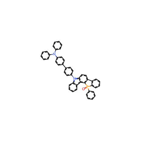 O=P1(c2ccccc2)c2ccccc2-c2ccc3c(c21)c1ccccc1n3-c1ccc(-c2ccc(N(c3ccccc3)c3ccccc3)cc2)cc1